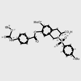 COc1cc2c(cc1OC(=O)c1ccc(NC(=O)OC(C)(C)C)cc1)CN(S(=O)(=O)c1ccc(C(C)(C)C)cc1)C(C(=O)O)C2